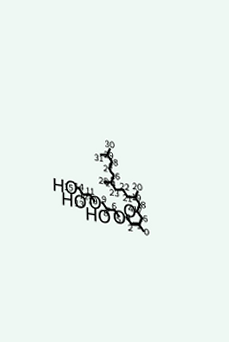 CC(=CC(=O)OCC(O)COCC(O)CO)CCCC(C)CCCC(C)CCCC(C)C